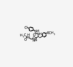 CCc1ccc(C[C@H](NC(=O)Nc2ccc(Cl)cc2)c2nnc(CNC(C)=O)o2)cc1